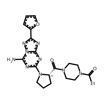 CCC(=O)N1CCN(C(=O)[C@@H]2CCCN2c2nc(N)n3nc(-c4ccco4)nc3n2)CC1